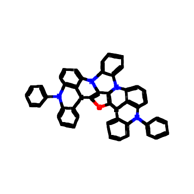 c1ccc(N2c3ccccc3B3c4oc5c6c4N(c4ccccc4N6c4cccc6c4B5c4ccccc4N6c4ccccc4)c4cccc2c43)cc1